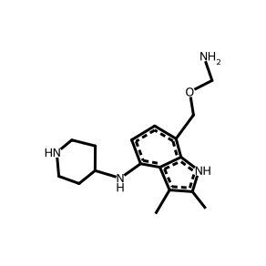 Cc1[nH]c2c(COCN)ccc(NC3CCNCC3)c2c1C